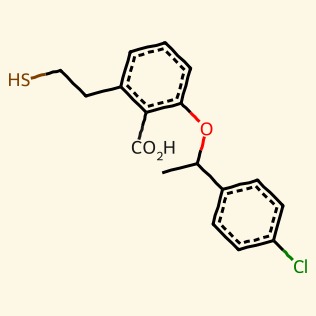 CC(Oc1cccc(CCS)c1C(=O)O)c1ccc(Cl)cc1